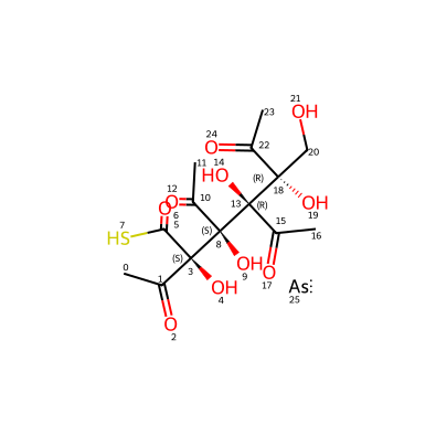 CC(=O)[C@](O)(C(=O)S)[C@](O)(C(C)=O)[C@@](O)(C(C)=O)[C@](O)(CO)C(C)=O.[As]